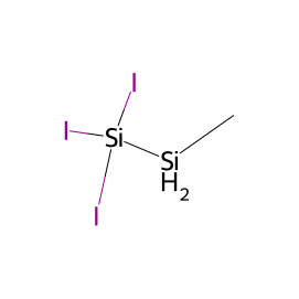 C[SiH2][Si](I)(I)I